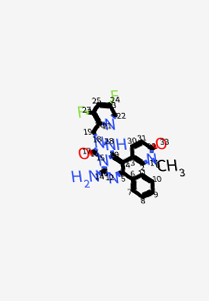 Cn1cc(-c2c(-c3ccccc3)nc(N)[n+]3c(=O)n(Cc4ncc(F)cc4F)[nH]c23)ccc1=O